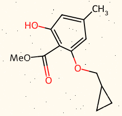 COC(=O)c1c(O)cc(C)cc1OCC1CC1